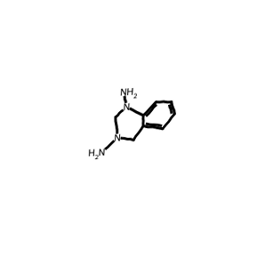 NN1Cc2ccccc2N(N)C1